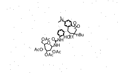 CCCC[C@]1(CC)CS(=O)(=O)c2ccc(N(C)C)cc2[C@@H](c2cccc(NC(=O)N[C@@H]3O[C@H](COC(C)=O)[C@@H](OC(C)=O)[C@H](OC(C)=O)[C@H]3OC(C)=O)c2)[C@H]1O